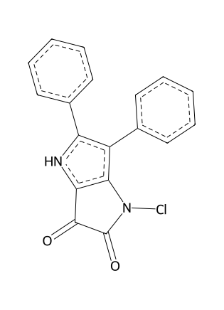 O=C1C(=O)N(Cl)c2c1[nH]c(-c1ccccc1)c2-c1ccccc1